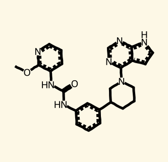 COc1ncccc1NC(=O)Nc1cccc(C2CCCN(c3ncnc4[nH]ccc34)C2)c1